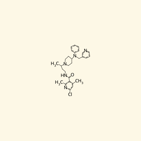 Cc1cc(Cl)nc(C)c1C(=O)NCCC(C)N1CCC(N(Cc2cccnc2)c2ccccc2)CC1